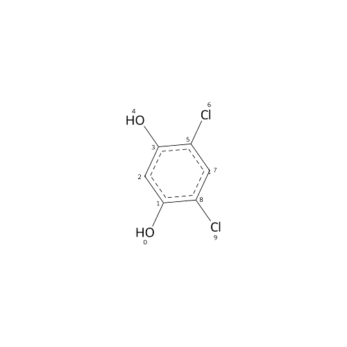 Oc1cc(O)c(Cl)[c]c1Cl